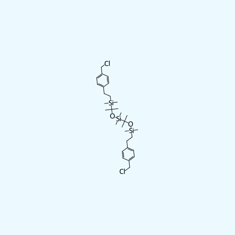 CC(C)(O[Si](C)(C)C(C)(C)O[Si](C)(C)CCc1ccc(CCl)cc1)[Si](C)(C)CCc1ccc(CCl)cc1